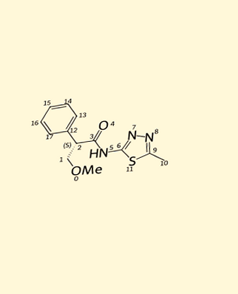 COC[C@@H](C(=O)Nc1nnc(C)s1)c1ccccc1